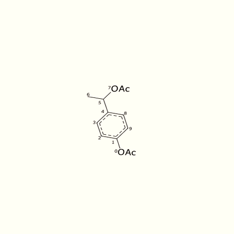 CC(=O)Oc1ccc(C(C)OC(C)=O)cc1